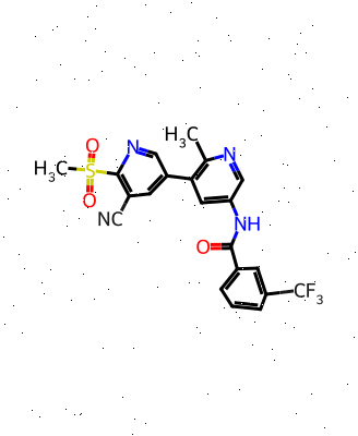 Cc1ncc(NC(=O)c2cccc(C(F)(F)F)c2)cc1-c1cnc(S(C)(=O)=O)c(C#N)c1